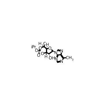 Cc1ncnc2c1ncn2[C@@H]1O[C@@H]2C(C)OP(=O)(OC(C)C)O[C@H]2[C@H]1O